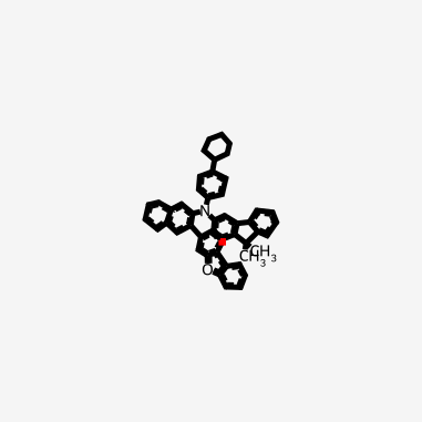 CC1(C)c2ccccc2-c2cc(N(c3ccc(C4CCCCC4)cc3)c3cc4ccccc4cc3-c3ccc4c(c3)oc3ccccc34)ccc21